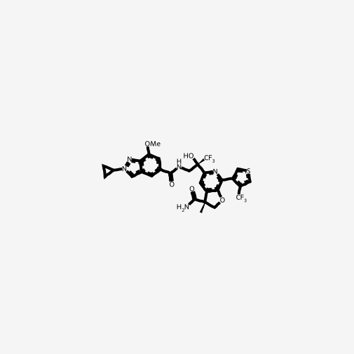 COc1cc(C(=O)NC[C@](O)(c2cc3c(c(-c4cscc4C(F)(F)F)n2)OC[C@]3(C)C(N)=O)C(F)(F)F)cc2cn(C3CC3)nc12